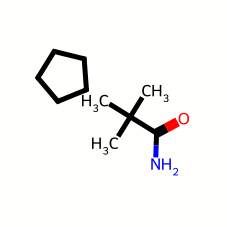 C1CCCC1.CC(C)(C)C(N)=O